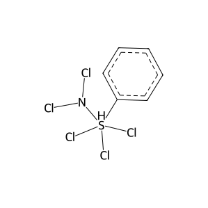 ClN(Cl)[SH](Cl)(Cl)(Cl)c1ccccc1